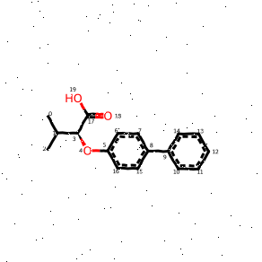 CC(C)[C@H](Oc1ccc(-c2ccccc2)cc1)C(=O)O